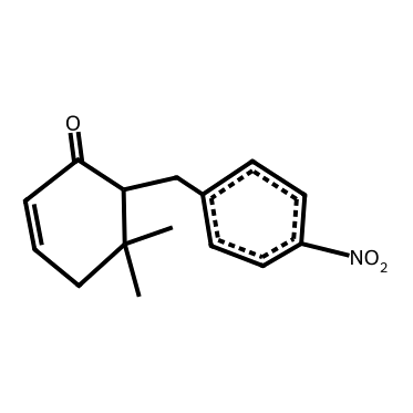 CC1(C)CC=CC(=O)C1Cc1ccc([N+](=O)[O-])cc1